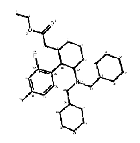 CCOC(=O)CC1CCCC(N(CC2CCCCC2)CC2CCCCC2)C1c1ccc(C)cc1F